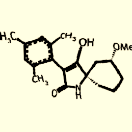 CO[C@@H]1CCC[C@]2(C1)NC(=O)C(c1c(C)cc(C)cc1C)=C2O